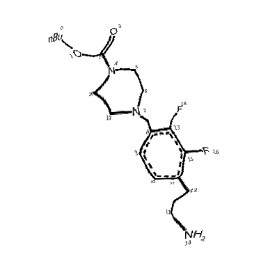 CCCCOC(=O)N1CCN(c2ccc(CCN)c(F)c2F)CC1